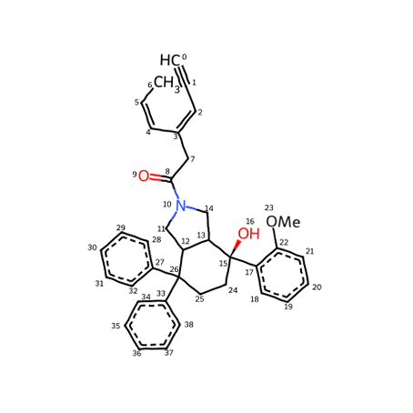 C#C/C=C(\C=C/C)CC(=O)N1CC2C(C1)[C@](O)(c1ccccc1OC)CCC2(c1ccccc1)c1ccccc1